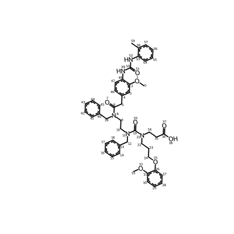 COc1cc(CC(=O)N(CCN(Cc2ccccc2)C(=O)N(CCCOc2ccccc2OC)CCC(=O)O)Cc2ccccc2)ccc1NC(=O)Nc1ccccc1C